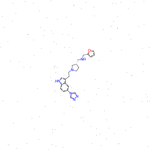 c1coc(CNC[C@@H]2CCN(CCc3c[nH]c4ccc(-n5cnnc5)cc34)C2)c1